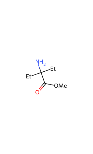 CCC(N)(CC)C(=O)OC